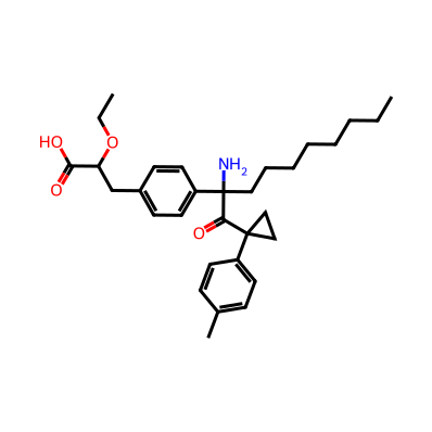 CCCCCCCCC(N)(C(=O)C1(c2ccc(C)cc2)CC1)c1ccc(CC(OCC)C(=O)O)cc1